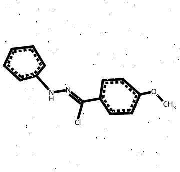 COc1ccc(C(Cl)=NNc2ccccc2)cc1